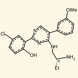 CC[C@@H](N)CNc1nc(-c2cc(Cl)ccc2O)ncc1-c1cccc(OC)c1